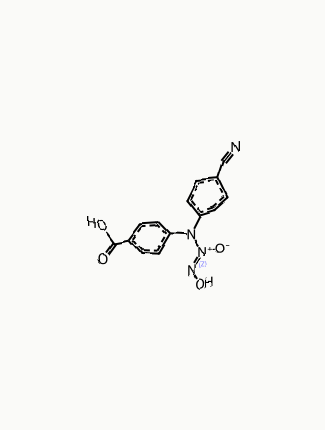 N#Cc1ccc(N(c2ccc(C(=O)O)cc2)/[N+]([O-])=N/O)cc1